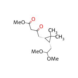 COC(=O)CC(=O)C[C@H]1[C@@H](CC(OC)OC)C1(C)C